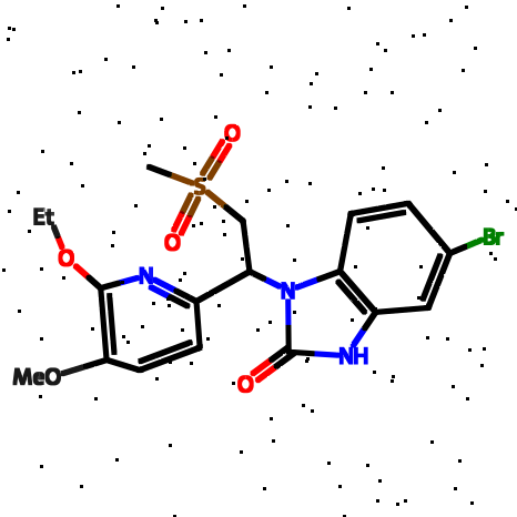 CCOc1nc(C(CS(C)(=O)=O)n2c(=O)[nH]c3cc(Br)ccc32)ccc1OC